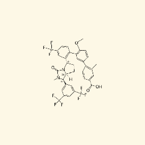 COc1ccc(-c2ccc(C(=O)O)cc2C)cc1-c1ccc(C(F)(F)F)cc1[C@@H]1CC[C@H]2[C@@H](c3cc(C(F)(F)F)cc(C(F)(F)F)c3)N(C)C(=O)N12